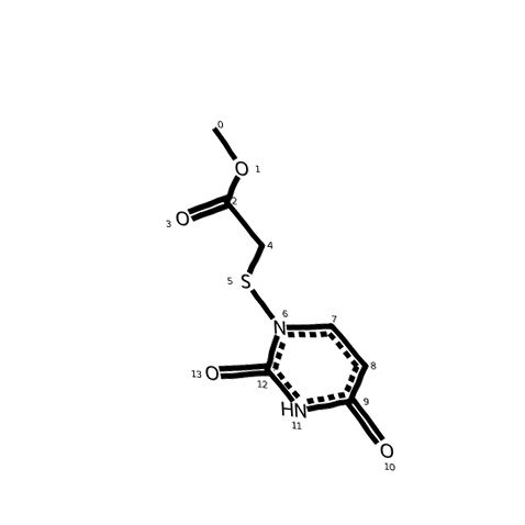 COC(=O)CSn1ccc(=O)[nH]c1=O